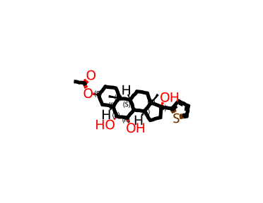 CC(=O)O[C@H]1CC[C@@]2(C)[C@H](C1)[C@@H](O)[C@H](O)C1[C@@H]2CC[C@@]2(C)[C@H]1CC[C@@]2(O)c1cccs1